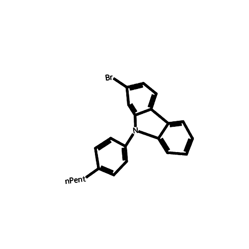 CCCCCc1ccc(-n2c3ccccc3c3ccc(Br)cc32)cc1